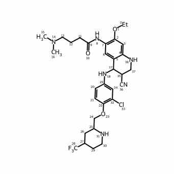 CCOc1cc2c(cc1NC(=O)CCCN(C)C)C(Nc1ccc(OCC3CC(C(F)(F)F)CCN3)c(Cl)c1)C(C#N)CN2